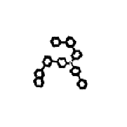 C1=CC(N(c2ccc(-c3ccccc3)cc2)c2cccc(-c3cccc(-c4ccccc4)c3)c2)CC=C1c1cccc(-c2ccc3ccccc3c2)c1